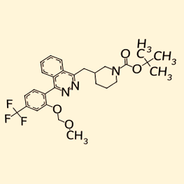 COCOc1cc(C(F)(F)F)ccc1-c1nnc(CC2CCCN(C(=O)OC(C)(C)C)C2)c2ccccc12